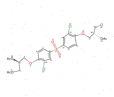 CC(=O)OC[C@H](COc1ccc(S(=O)(=O)c2ccc(OC[C@H](CCl)OC(C)=O)c(Cl)c2)cc1Cl)OC(C)=O